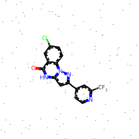 O=c1[nH]c2cc(-c3ccnc(C(F)(F)F)c3)nn2c2ccc(Cl)cc12